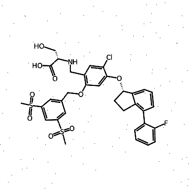 CS(=O)(=O)c1cc(COc2cc(O[C@H]3CCc4c(-c5ccccc5F)cccc43)c(Cl)cc2CN[C@@H](CO)C(=O)O)cc(S(C)(=O)=O)c1